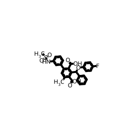 Cc1cc(-c2cccc(NS(C)(=O)=O)c2)c(C(=O)O)c(C(Oc2ccc(F)cc2)c2ccccc2)c1C(=O)O